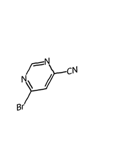 N#Cc1cc(Br)ncn1